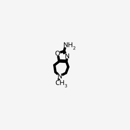 CN1CCc2nc(N)oc2CC1